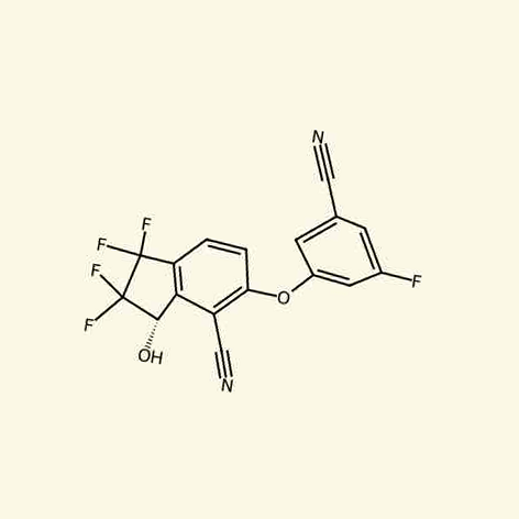 N#Cc1cc(F)cc(Oc2ccc3c(c2C#N)[C@H](O)C(F)(F)C3(F)F)c1